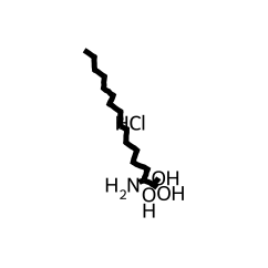 CCCCCCCCCCCCCCC(N)C(O)(O)O.Cl